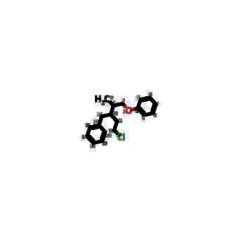 CC(COc1ccccc1)C(CCCl)Cc1ccccc1